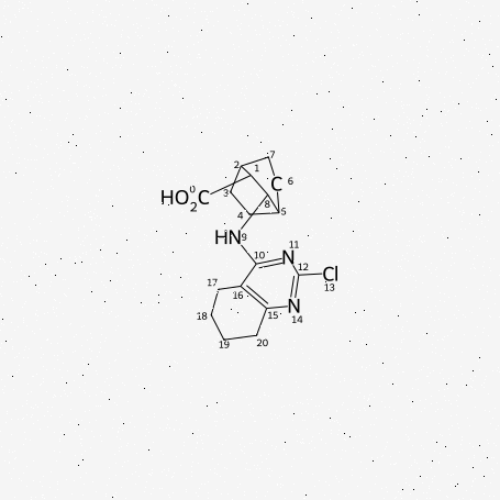 O=C(O)C1C2CCC(CC2)C1Nc1nc(Cl)nc2c1CCCC2